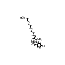 CCCCCCCCC=CCCCCCCCCOC(=O)[C@H](C)NP(=O)(Cl)Oc1ccc(Cl)cc1